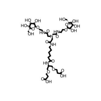 O=C(O)CCOCC(COCCC(=O)O)NC(=O)CCCCCNC(=O)CN(CC(=O)NCCO[C@@H]1O[C@H](CO)[C@@H](O)[C@H](O)[C@H]1O)CC(=O)NCCO[C@@H]1O[C@H](CO)[C@@H](O)[C@H](O)[C@H]1O